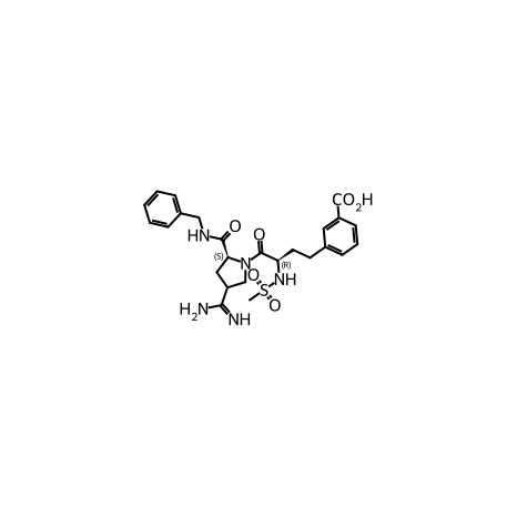 CS(=O)(=O)N[C@H](CCc1cccc(C(=O)O)c1)C(=O)N1CC(C(=N)N)C[C@H]1C(=O)NCc1ccccc1